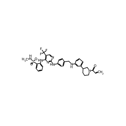 C=CC(=O)N1CCCC(c2cccc(NCc3ccc(Nc4ncc(C(F)(F)F)c(Nc5ccccc5S(=O)(=O)NC)n4)cc3)c2)C1